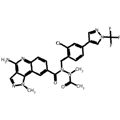 CC(=O)N(C)N(Cc1ccc(-c2cnn(C(F)(F)F)c2)cc1Cl)C(=O)c1ccc2nc(N)c3cnn(C)c3c2c1